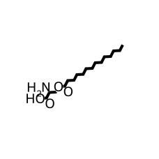 CCCCCCCCCCCCCC(=O)OCC(N)C(=O)O